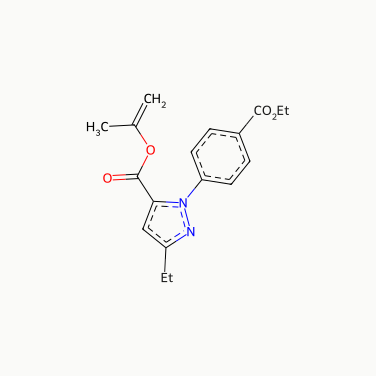 C=C(C)OC(=O)c1cc(CC)nn1-c1ccc(C(=O)OCC)cc1